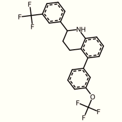 FC(F)(F)Oc1cccc(-c2cccc3c2CCC(c2cccc(C(F)(F)F)c2)N3)c1